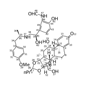 CCC[C@@H]1O[C@@H]2C[C@H]3[C@@H]4CCC5=CC(=O)C=C[C@]5(C)[C@H]4[C@@H](O)C[C@]3(C)[C@]2(C(=O)CO)O1.COc1ccc(C[C@@H](C)NC[C@H](O)c2ccc(O)c(NC=O)c2)cc1